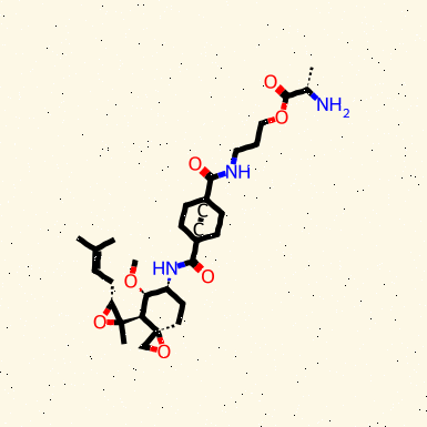 CO[C@H]1[C@H](C2(C)O[C@@H]2CC=C(C)C)[C@]2(CC[C@H]1NC(=O)C13CCC(C(=O)NCCCOC(=O)[C@H](C)N)(CC1)CC3)CO2